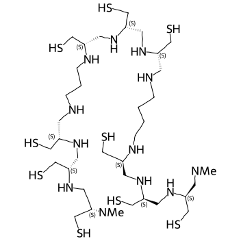 CNC[C@@H](CS)NC[C@@H](CS)NC[C@@H](CS)NCCCCNC[C@@H](CS)NC[C@@H](CS)NC[C@@H](CS)NCCCNC[C@@H](CS)NC[C@@H](CS)NC[C@@H](CS)NC